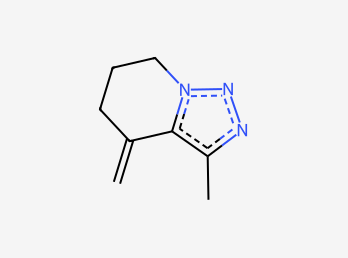 C=C1CCCn2nnc(C)c21